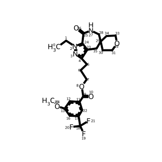 CCn1nc(CCCOC(=O)c2cc(OC)cc(C(F)(F)F)c2)c2c1C(=O)NCC1(CCOCC1)C2